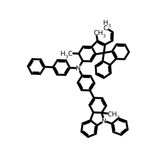 C/C=C\C1=C(C)C2=CC(C)C(N(c3ccc(C4=CC5c6ccccc6N(c6ccccc6)C5(C)C=C4)cc3)c3ccc(-c4ccccc4)cc3)C=C2C12C1=C(CCC=C1)c1ccccc12